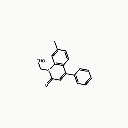 Cc1ccc2c(-c3ccccc3)cc(=O)n(CC=O)c2c1